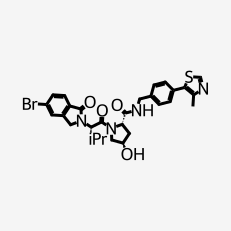 Cc1ncsc1-c1ccc(CNC(=O)[C@@H]2C[C@@H](O)CN2C(=O)[C@H](C(C)C)N2Cc3cc(Br)ccc3C2=O)cc1